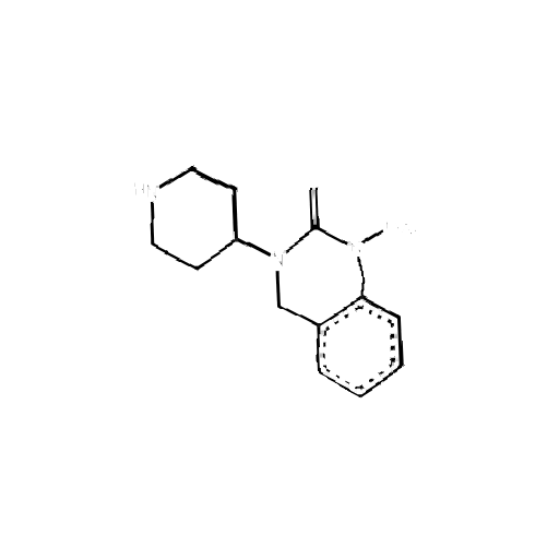 CC(=O)ON1C(=O)N(C2CCNCC2)Cc2ccccc21